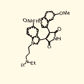 CCN(CC)CCCn1cc(C2=C(c3c[nH]c4ccc(OC)cc34)C(=O)NC2=O)c2cc(OC)ccc21